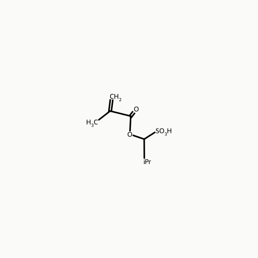 C=C(C)C(=O)OC(C(C)C)S(=O)(=O)O